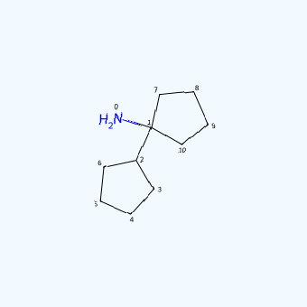 NC1(C2CCCC2)CCCC1